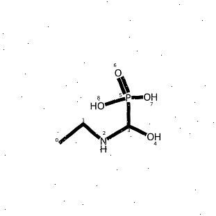 CCNC(O)P(=O)(O)O